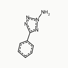 Nn1nnc(-c2ccccc2)n1